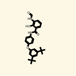 CC(C)(C)c1cc(Oc2ccc(NC(=O)c3cccc(NC=O)c3O)cc2)cc(C(C)(C)C)c1